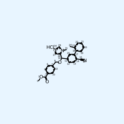 COC(=O)c1ccc(COC(c2ccc(C#N)c(-c3ccccc3C)c2)c2cncn2C)cc1.Cl